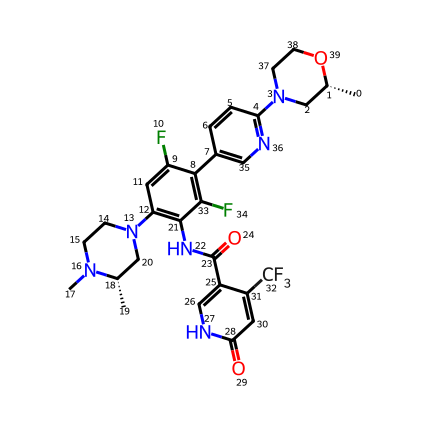 C[C@@H]1CN(c2ccc(-c3c(F)cc(N4CCN(C)[C@@H](C)C4)c(NC(=O)c4c[nH]c(=O)cc4C(F)(F)F)c3F)cn2)CCO1